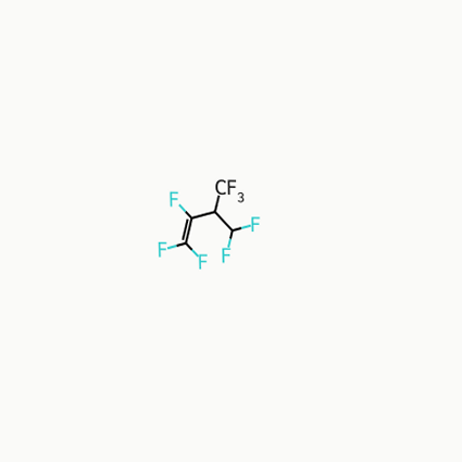 FC(F)=C(F)C(C(F)F)C(F)(F)F